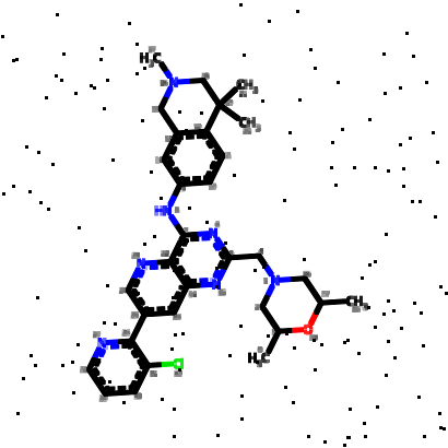 CC1CN(Cc2nc(Nc3ccc4c(c3)CN(C)CC4(C)C)c3ncc(-c4ncccc4Cl)cc3n2)CC(C)O1